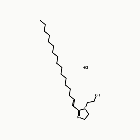 CCCCCCCCCCCCCCCC=CC1=NCCN1CCO.Cl